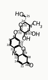 C[C@@H]1[C@H](O)[C@@H](O)[C@H](Oc2ccc3nc4ccc(=O)cc-4oc3c2)O[C@@H]1CO